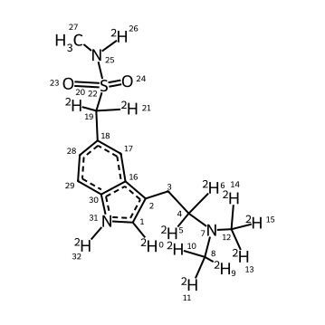 [2H]c1c(CC([2H])([2H])N(C([2H])([2H])[2H])C([2H])([2H])[2H])c2cc(C([2H])([2H])S(=O)(=O)N([2H])C)ccc2n1[2H]